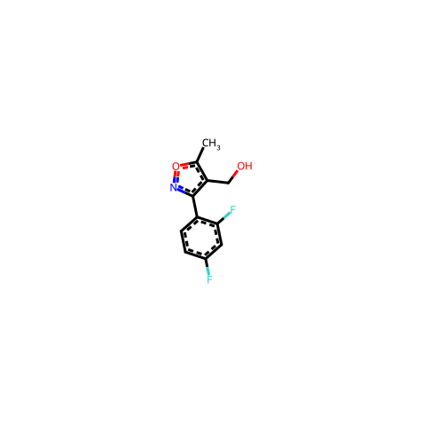 Cc1onc(-c2ccc(F)cc2F)c1CO